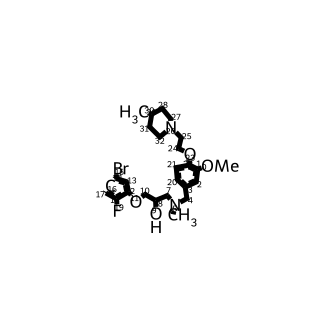 COc1cc(CN(C)CC(O)COc2cc(Br)ccc2F)ccc1OCCN1CCC(C)CC1